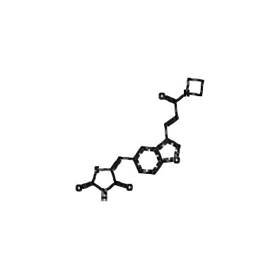 O=C1NC(=O)/C(=C\c2ccc3occ(/C=C/C(=O)N4CCC4)c3c2)S1